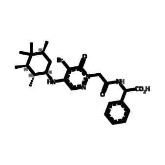 C[C@@H]1[C@@H](C)C(C)(C)[C@@H](C)C[C@H]1Nc1cnn(CC(=O)NC(C(=O)O)c2ccccc2)c(=O)c1Br